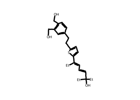 CC/C(=C\C=C\C(O)(CC)CC)c1ccc(CCc2ccc(CO)c(CO)c2)s1